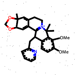 COc1ccc2c(c1OC)C(C)(C)[N+]1=C(C3=CC4OCOC4(C)C=C3CC1)C2Cc1ccccn1